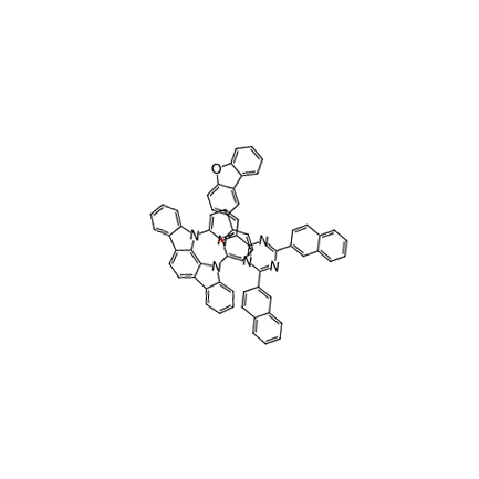 c1cc(-c2nc(-c3ccc4ccccc4c3)nc(-c3ccc4ccccc4c3)n2)cc(-n2c3ccccc3c3ccc4c5ccccc5n(-c5cccc(-c6ccc7oc8ccccc8c7c6)n5)c4c32)c1